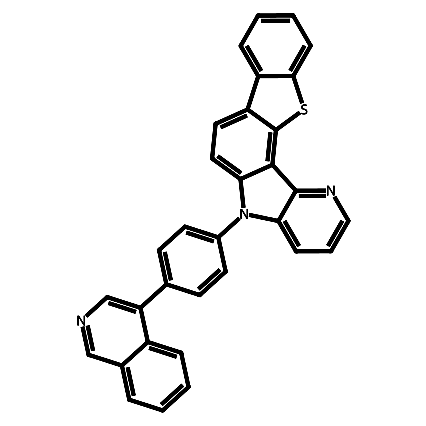 c1ccc2c(-c3ccc(-n4c5cccnc5c5c6sc7ccccc7c6ccc54)cc3)cncc2c1